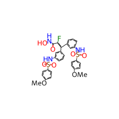 COc1ccc(S(=O)(=O)Nc2cccc(C(=C(F)C(=O)NO)c3cccc(NS(=O)(=O)c4ccc(OC)cc4)c3)c2)cc1